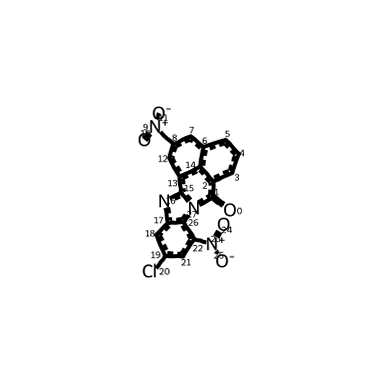 O=c1c2cccc3cc([N+](=O)[O-])cc(c32)c2nc3cc(Cl)cc([N+](=O)[O-])c3n12